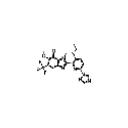 CCSc1ccc(-n2cncn2)nc1-c1nc2cc(C(F)(F)F)n(OC)c(=O)c2n1C